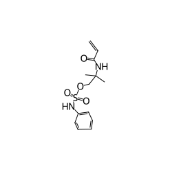 C=CC(=O)NC(C)(C)COS(=O)(=O)Nc1ccccc1